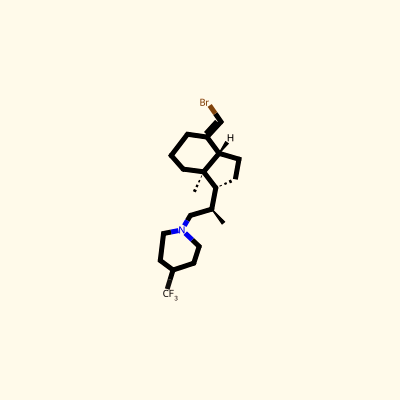 C[C@@H](CN1CCC(C(F)(F)F)CC1)[C@H]1CC[C@H]2/C(=C/Br)CCC[C@]12C